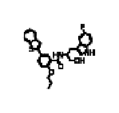 CCCOc1ccc(-c2cc3ccccc3s2)cc1C(=O)NC(CO)Cc1c[nH]c2ccc(F)cc12